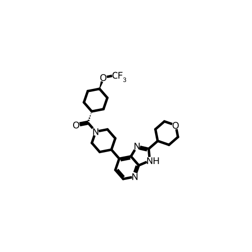 O=C([C@H]1CC[C@H](OC(F)(F)F)CC1)N1CCC(c2ccnc3[nH]c(C4CCOCC4)nc23)CC1